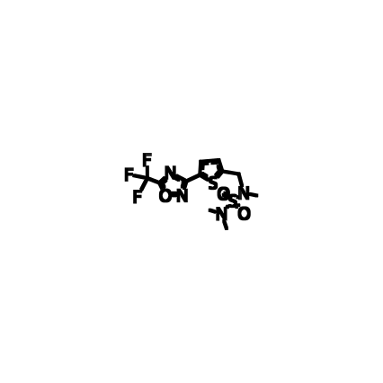 CN(C)S(=O)(=O)N(C)Cc1ccc(-c2noc(C(F)(F)F)n2)s1